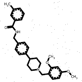 COc1ccc(CN2CCC(c3ccc(CNC(=O)c4cccc(C)c4)cc3)CC2)c(OC)c1